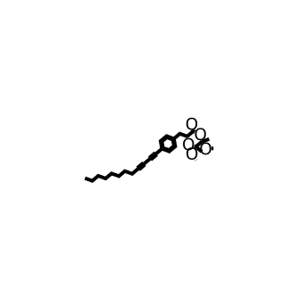 CCCCCCCCC#CC#Cc1ccc(CC2OC(C)(OC)C(C)(OC)OC2=O)cc1